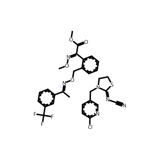 CO/N=C(/C(=O)OC)c1ccccc1CO/N=C(\C)c1cccc(C(F)(F)F)c1.N#C/N=C1\SCCN1Cc1ccc(Cl)nc1